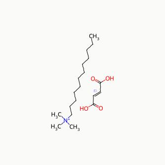 CCCCCCCCCCCC[N+](C)(C)C.O=C(O)/C=C/C(=O)O